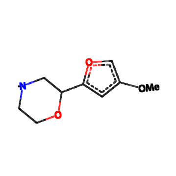 COc1coc(C2C[N]CCO2)c1